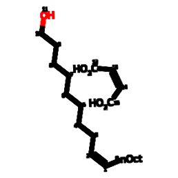 CCCCCCCC/C=C\CCCCCCCCO.O=C(O)/C=C\C(=O)O